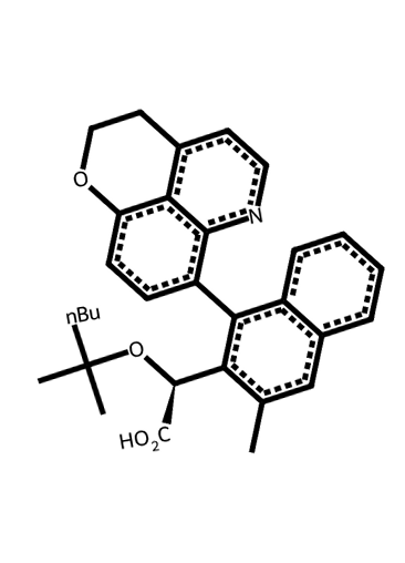 CCCCC(C)(C)O[C@H](C(=O)O)c1c(C)cc2ccccc2c1-c1ccc2c3c(ccnc13)CCO2